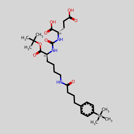 CC(C)(C)OC(=O)[C@H](CCCCNC(=O)CCCc1cc[c]([Sn]([CH3])([CH3])[CH3])cc1)NC(=O)N[C@@H](CCC(=O)O)C(=O)O